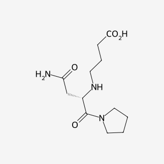 NC(=O)C[C@H](NCCCC(=O)O)C(=O)N1CCCC1